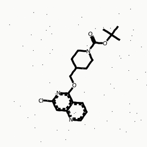 CC(C)(C)OC(=O)N1CCC(COc2nc(Cl)cc3ncccc23)CC1